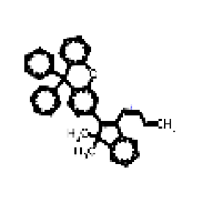 C=C/C=C\C1=C(c2ccc3c(c2)Oc2ccccc2C3(c2ccccc2)c2ccccc2)C(C)(C)c2ccccc21